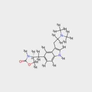 [2H]c1c(C([2H])([2H])[C@]2([2H])N([2H])C(=O)OC2([2H])[2H])c([2H])c2c(CC([2H])([2H])N(C([2H])([2H])[2H])C([2H])([2H])[2H])c([2H])n([2H])c2c1[2H]